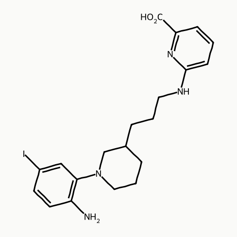 Nc1ccc(I)cc1N1CCCC(CCCNc2cccc(C(=O)O)n2)C1